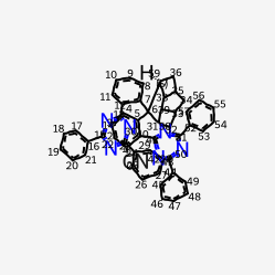 N#Cc1cccc(C2(c3ccccc3-c3nc(-c4ccccc4)nc(-c4ccccc4)n3)C3CC4CC5C[C@H]2C5C43)c1-c1nc(-c2ccccc2)nc(-c2ccccc2)n1